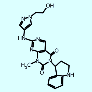 Cn1c(=O)n(C2CCNc3ccccc32)c(=O)c2cnc(Nc3cnn(CCO)c3)nc21